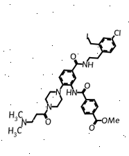 COC(=O)c1ccc(C(=O)Nc2cc(C(=O)NCCc3ccc(Cl)cc3CI)ccc2N2CCN(C(=O)CCN(C)C)CC2)cc1